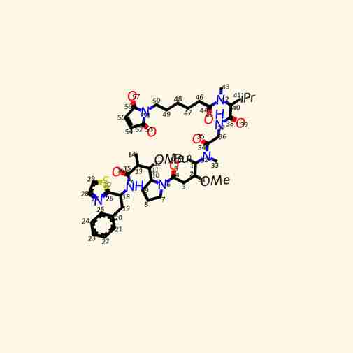 CCC(C)C(C(CC(=O)N1CCCC1C(OC)C(C)C(=O)NC(Cc1ccccc1)c1nccs1)OC)N(C)C(=O)CNC(=O)C(C(C)C)N(C)C(=O)CCCCCN1C(=O)C=CC1=O